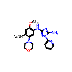 CC(=O)Nc1cc(OC(F)(F)F)c(Nc2nc(N)n(-c3ccccn3)n2)cc1N1CCOCC1